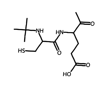 CC(=O)C(CCC(=O)O)NC(=O)C(CS)NC(C)(C)C